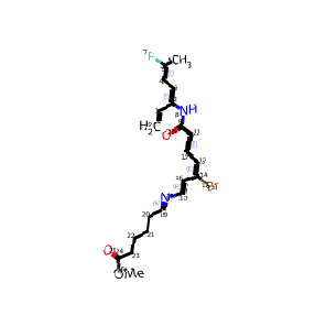 C=C/C(=C\C=C(/C)F)NC(=O)/C=C/C=C(Br)\C=C\N=C\CCCCC(=O)OC